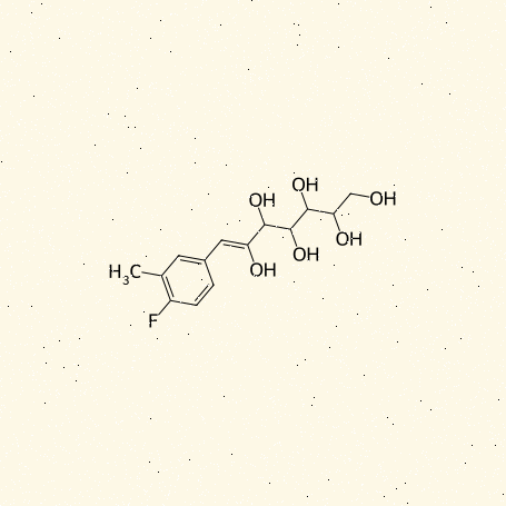 Cc1cc(C=C(O)C(O)C(O)C(O)C(O)CO)ccc1F